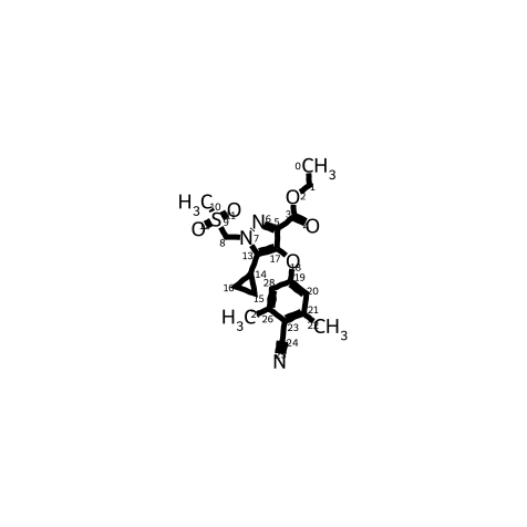 CCOC(=O)c1nn(CS(C)(=O)=O)c(C2CC2)c1Oc1cc(C)c(C#N)c(C)c1